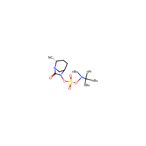 CCCCN(OS(=O)(=O)ON1C(=O)N2CC1CC[C@H]2C#N)C(CCC)(CCCC)CCCC